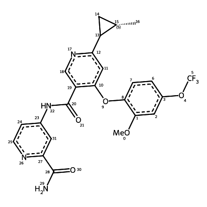 COc1cc(OC(F)(F)F)ccc1Oc1cc(C2C[C@@H]2C)ncc1C(=O)Nc1ccnc(C(N)=O)c1